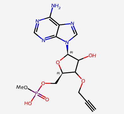 C#CCOC1C(O)[C@H](n2cnc3c(N)ncnc32)O[C@@H]1COP(=O)(O)OC